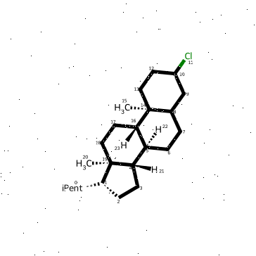 CCC[C@@H](C)[C@H]1CC[C@H]2[C@@H]3CCC4CC(Cl)CC[C@]4(C)[C@H]3CC[C@]12C